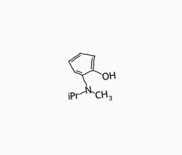 CC(C)N(C)c1ccccc1O